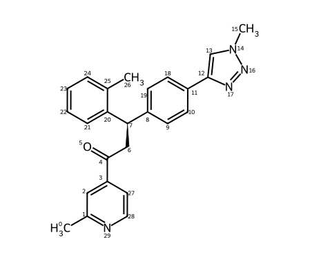 Cc1cc(C(=O)C[C@H](c2ccc(-c3cn(C)nn3)cc2)c2ccccc2C)ccn1